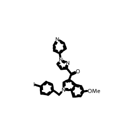 COc1ccc2c(c1)c(C(=O)c1ccn(-c3ccncc3)n1)cn2Cc1ccc(I)cc1